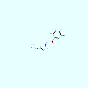 CCS(=O)(=O)Cc1cnc(NC(=O)c2cc(C)c(Cl)cc2C)s1